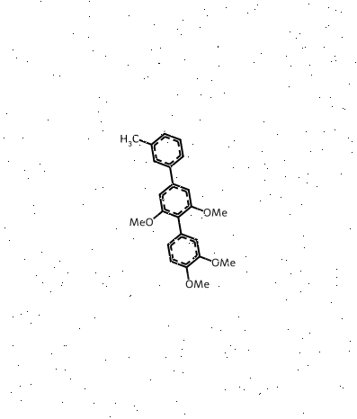 COc1ccc(-c2c(OC)cc(-c3cc[c]c(C)c3)cc2OC)cc1OC